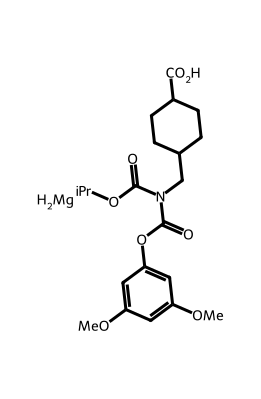 COc1cc(OC)cc(OC(=O)N(CC2CCC(C(=O)O)CC2)C(=O)OC(C)C)c1.[MgH2]